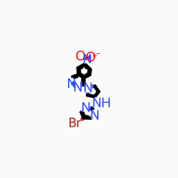 O=[N+]([O-])c1ccc2c(N3CCC(Nc4ncc(Br)cn4)C3)nncc2c1